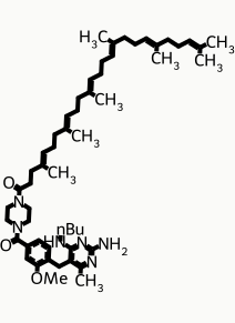 CCCCNc1nc(N)nc(C)c1Cc1ccc(C(=O)N2CCN(C(=O)CC/C(C)=C/CC/C(C)=C/CC/C(C)=C/CC/C=C(\C)CC/C=C(\C)CCC=C(C)C)CC2)cc1OC